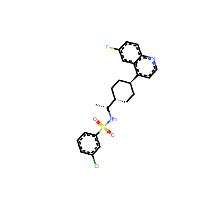 C[C@@H](NS(=O)(=O)c1cccc(Cl)c1)[C@H]1CC[C@H](c2ccnc3ccc(F)cc32)CC1